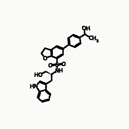 CC(O)c1ccc(-c2cc3c(c(S(=O)(=O)N[C@@H](CO)Cc4c[nH]c5ccccc45)c2)OCC3)cc1